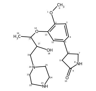 COc1ccc(C2CNC(=O)C2)cc1OC(C)C(O)CN1CCNCC1